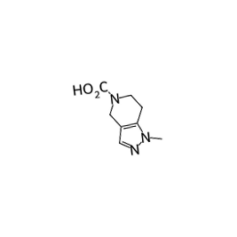 Cn1ncc2c1CCN(C(=O)O)C2